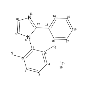 Cc1cccc(C)c1-n1ccnc1-c1ccccc1.[Ir]